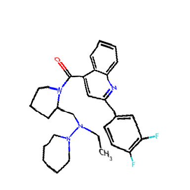 CCN(CC1CCCN1C(=O)c1cc(-c2ccc(F)c(F)c2)nc2ccccc12)N1CCCCC1